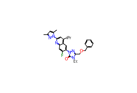 CCn1c(COCc2ccccc2)nn(-c2cc3c(C(C)C)cc(-n4nc(C)cc4C)nc3cc2F)c1=O